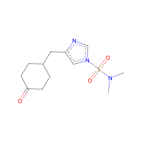 CN(C)S(=O)(=O)n1cnc(CC2CCC(=O)CC2)c1